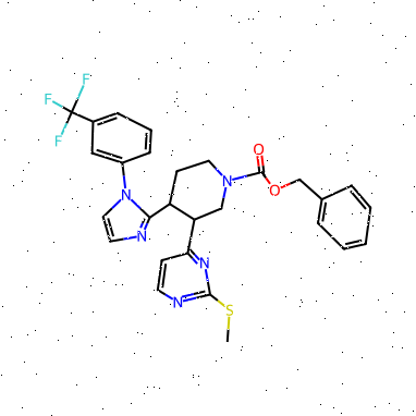 CSc1nccc(C2CN(C(=O)OCc3ccccc3)CCC2c2nccn2-c2cccc(C(F)(F)F)c2)n1